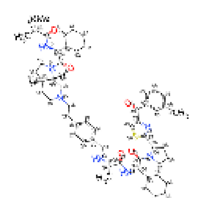 CN[C@@H](C)C(=O)N[C@H](C(=O)N1CC[C@H]2CCN(CCc3ccc(CN[C@@H](C)C(=O)N[C@H](C(=O)N4CCC[C@H]4c4nc(C(=O)c5cccc(C)c5)cs4)C4CCCCC4)cc3)C[C@H]21)C1CCCCC1